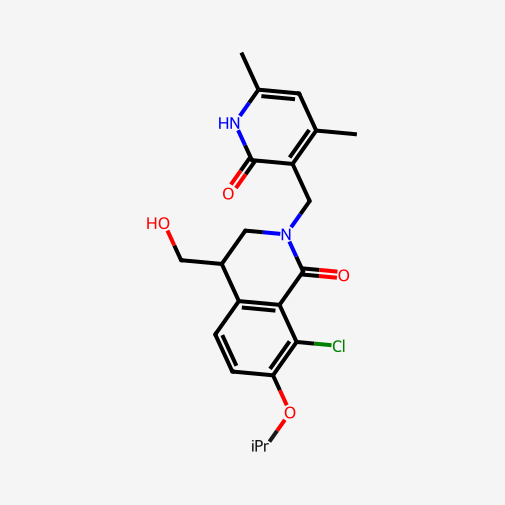 Cc1cc(C)c(CN2CC(CO)c3ccc(OC(C)C)c(Cl)c3C2=O)c(=O)[nH]1